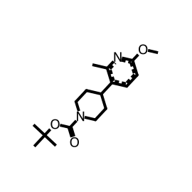 COc1ccc(C2CCN(C(=O)OC(C)(C)C)CC2)c(C)n1